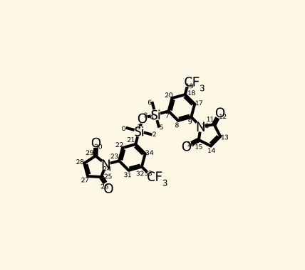 C[Si](C)(O[Si](C)(C)c1cc(N2C(=O)C=CC2=O)cc(C(F)(F)F)c1)c1cc(N2C(=O)C=CC2=O)cc(C(F)(F)F)c1